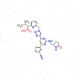 CC(C)C(C(=O)O)c1cccc(Cn2cc(-c3cc(-c4cccc(C#N)c4)nc(NCC4CCC(=O)N4)n3)nn2)n1